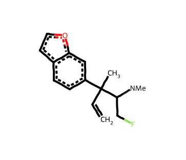 C=CC(C)(c1ccc2ccoc2c1)C(CF)NC